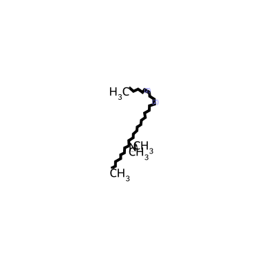 CCCCC/C=C\C/C=C\CCCCCCCCCCCC(CCCCCCCC)N(C)C